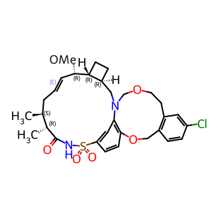 CO[C@H]1/C=C/C[C@H](C)[C@@H](C)C(=O)NS(=O)(=O)c2ccc3c(c2)N(COCCc2cc(Cl)ccc2CO3)C[C@@H]2CC[C@H]21